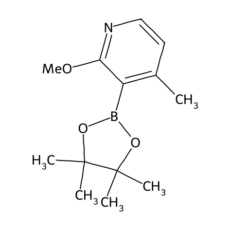 COc1nccc(C)c1B1OC(C)(C)C(C)(C)O1